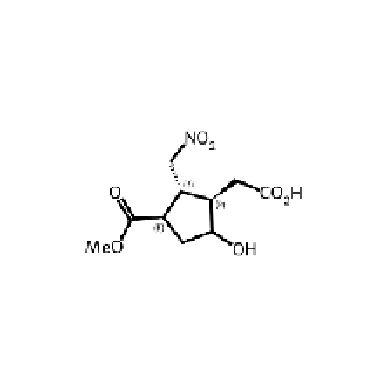 COC(=O)[C@@H]1CC(O)[C@H](CC(=O)O)[C@H]1C[N+](=O)[O-]